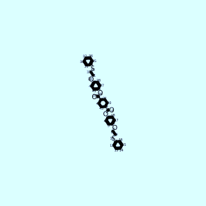 O=C(Oc1ccc(OCCSc2ccccc2)cc1)[C@H]1CC[C@H](C(=O)Oc2ccc(OCCSc3ccccc3)cc2)CC1